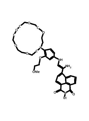 CCN1C(=O)c2cccc3c(/C(N)=C/Nc4ccc(N5CCOCCOCCOCCOCCOCC5)c(OCCOC)c4)ccc(c23)C1=O